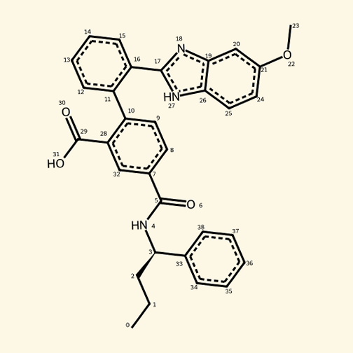 CCC[C@@H](NC(=O)c1ccc(-c2ccccc2-c2nc3cc(OC)ccc3[nH]2)c(C(=O)O)c1)c1ccccc1